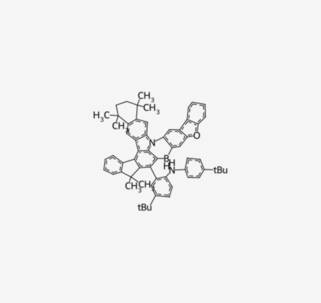 CC(C)(C)c1ccc(Nc2ccc(C(C)(C)C)cc2-c2c3c(c4c5cc6c(cc5n5c4c2Bc2cc4oc7ccccc7c4cc2-5)C(C)(C)CCC6(C)C)-c2ccccc2C3(C)C)cc1